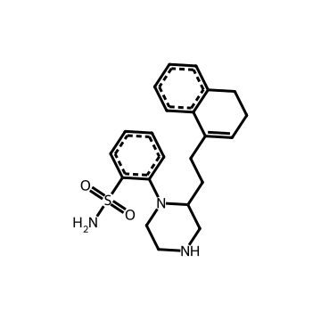 NS(=O)(=O)c1ccccc1N1CCNCC1CCC1=CCCc2ccccc21